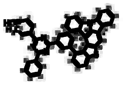 C#C/C=C\C(=C/C)c1nc(-c2ccccc2)nc(-c2cccc(-c3cccc4sc5cc6c7ccccc7n7c8ccccc8c(c5c34)c67)c2)n1